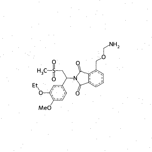 CCOc1cc(C(CS(C)(=O)=O)N2C(=O)c3cccc(COCN)c3C2=O)ccc1OC